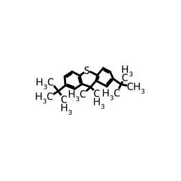 CC(C)(C)c1ccc2c(c1)C(C)(C)c1cc(C(C)(C)C)ccc1S2